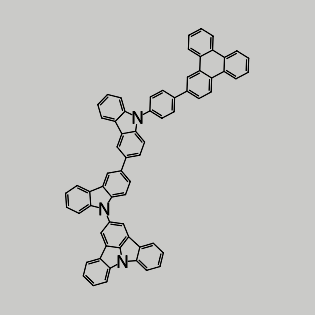 c1ccc2c(c1)c1ccccc1c1cc(-c3ccc(-n4c5ccccc5c5cc(-c6ccc7c(c6)c6ccccc6n7-c6cc7c8ccccc8n8c9ccccc9c(c6)c78)ccc54)cc3)ccc21